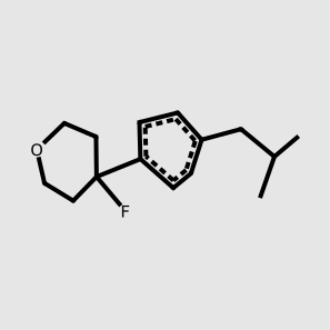 CC(C)Cc1ccc(C2(F)CCOCC2)cc1